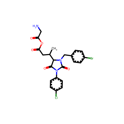 CC(CC(=O)OC(=O)CN)C1C(=O)N(c2ccc(Cl)cc2)C(=O)N1Cc1ccc(Br)cc1